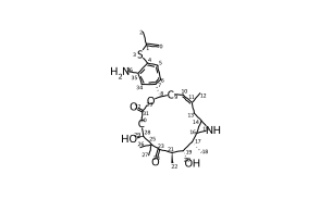 C=C(C)Sc1ccc([C@@H]2C/C=C(/C)CC3NC3[C@H](C)[C@H](O)[C@@H](C)C(=O)C(C)(C)[C@@H](O)CC(=O)O2)cc1N